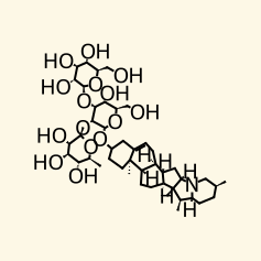 C[C@H]1CC[C@@H]2[C@@H](C)[C@H]3[C@H](C[C@H]4[C@@H]5CC=C6CC(O[C@@H]7O[C@H](CO)[C@H](O)[C@H](O[C@@H]8O[C@H](CO)[C@@H](O)[C@H](O)[C@H]8O)[C@H]7O[C@H]7O[C@@H](C)[C@H](O)[C@@H](O)[C@H]7O)CC[C@]6(C)[C@H]5CC[C@]34C)N2C1